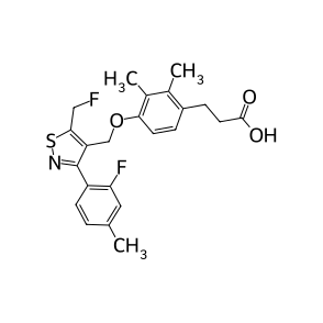 Cc1ccc(-c2nsc(CF)c2COc2ccc(CCC(=O)O)c(C)c2C)c(F)c1